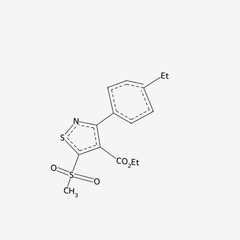 CCOC(=O)c1c(-c2ccc(CC)cc2)nsc1S(C)(=O)=O